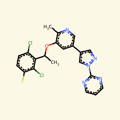 Cc1ncc(-c2cnn(-c3ncccn3)c2)cc1OC(C)c1c(Cl)ccc(F)c1Cl